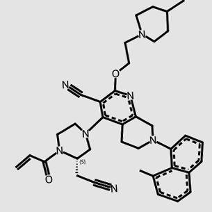 C=CC(=O)N1CCN(c2c(C#N)c(OCCN3CCC(C)CC3)nc3c2CCN(c2cccc4cccc(C)c24)C3)C[C@@H]1CC#N